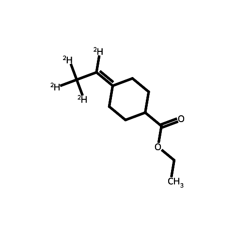 [2H]C(=C1CCC(C(=O)OCC)CC1)C([2H])([2H])[2H]